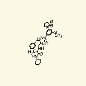 COc1cc(C(=O)NC(Cc2ccccc2)C(O)CNC(C)C(=O)NC2CCCCC2)cc(N2CCCS2(=O)=O)c1